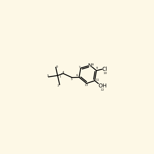 CC(C)(C)[CH]Cc1cnc(Cl)c(O)c1